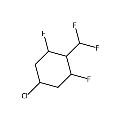 FC(F)C1C(F)CC(Cl)CC1F